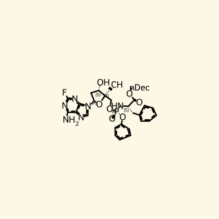 C#C[C@]1(CO[P@](=O)(N[C@@H](Cc2ccccc2)C(=O)OCCCCCCCCCC)Oc2ccccc2)O[C@@H](n2cnc3c(N)nc(F)nc32)C[C@@H]1O